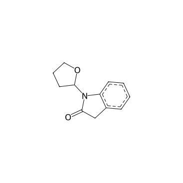 O=C1Cc2ccccc2N1C1CCCO1